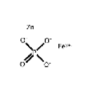 O=P([O-])([O-])[O-].[Fe+3].[Zn]